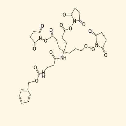 O=C(CCNC(=O)OCc1ccccc1)NC(CCCOON1C(=O)CCC1=O)(CCC(=O)ON1C(=O)CCC1=O)CCC(=O)ON1C(=O)CCC1=O